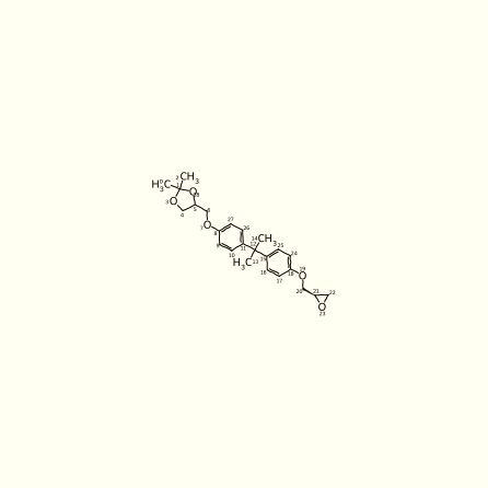 CC1(C)OCC(COc2ccc(C(C)(C)c3ccc(OC[C@H]4CO4)cc3)cc2)O1